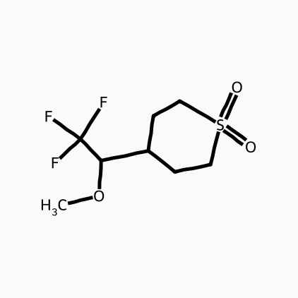 COC(C1CCS(=O)(=O)CC1)C(F)(F)F